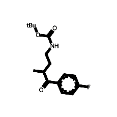 CC(CCNC(=O)OC(C)(C)C)C(=O)c1ccc(F)cc1